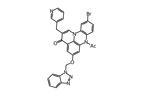 CC(=O)N1c2ccc(Br)cc2-n2cc(Cc3cccnc3)c(=O)c3cc(OCn4nnc5ccccc54)cc1c32